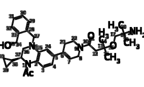 CC(=O)N1c2ccc(C3=CCN(C(=O)CC(C)(C)OCC(C)(C)N)CC3)cc2N(Cc2ccccc2CO)C[C@@H]1C1CC1